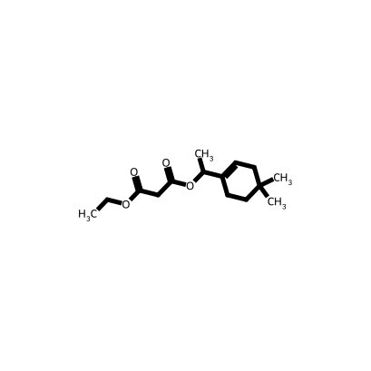 CCOC(=O)CC(=O)OC(C)C1=CCC(C)(C)CC1